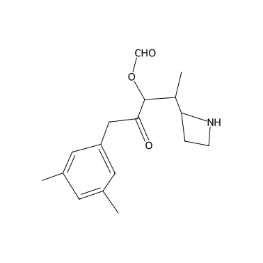 Cc1cc(C)cc(CC(=O)C(OC=O)C(C)C2CCN2)c1